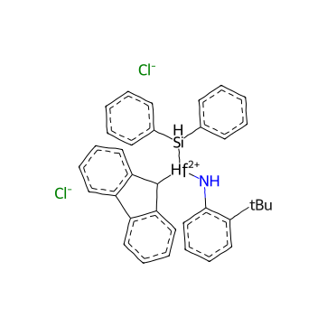 CC(C)(C)c1ccccc1[NH][Hf+2]([CH]1c2ccccc2-c2ccccc21)[SiH](c1ccccc1)c1ccccc1.[Cl-].[Cl-]